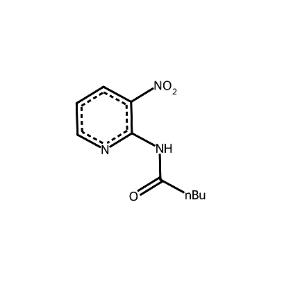 CCCCC(=O)Nc1ncccc1[N+](=O)[O-]